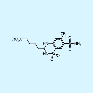 CCOC(=O)CCCCC1Nc2cc(C(F)(F)F)c(S(N)(=O)=O)cc2S(=O)(=O)N1